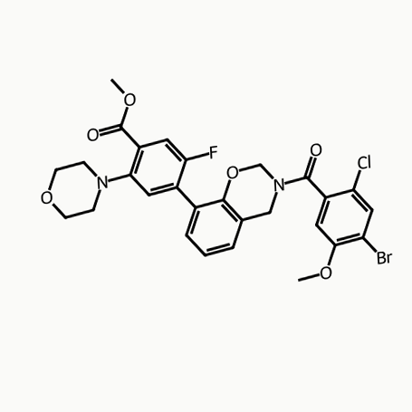 COC(=O)c1cc(F)c(-c2cccc3c2OCN(C(=O)c2cc(OC)c(Br)cc2Cl)C3)cc1N1CCOCC1